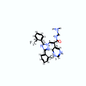 CN(C)C=NC(=O)/C(=C/n1nc(-c2ccccc2C(F)(F)F)nc1-c1ccccc1C(F)(F)F)c1cncnc1